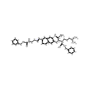 CN(C)CCCN(C(=O)OCc1ccccc1)[C@@H](Cc1ccc2cc(/C=C/CCNC(=O)OCc3ccccc3)ccc2c1)C(N)=O